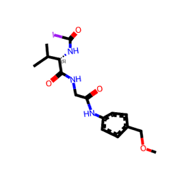 COCc1ccc(NC(=O)CNC(=O)[C@@H](NC(=O)I)C(C)C)cc1